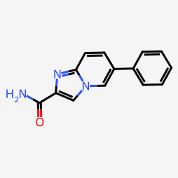 NC(=O)c1cn2cc(-c3ccccc3)ccc2n1